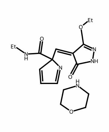 C1COCCN1.CCNC(=O)C1(C=C2C(=O)NN=C2OCC)C=CC=N1